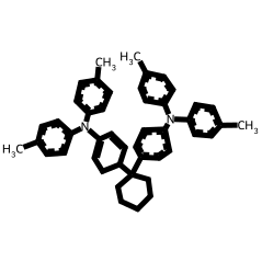 Cc1ccc(N(C2=CCC(C3(c4ccc(N(c5ccc(C)cc5)c5ccc(C)cc5)cc4)CCCCC3)C=C2)c2ccc(C)cc2)cc1